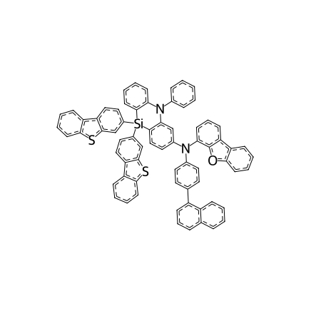 c1ccc(N2c3ccccc3[Si](c3ccc4c(c3)sc3ccccc34)(c3ccc4c(c3)sc3ccccc34)c3ccc(N(c4ccc(-c5cccc6ccccc56)cc4)c4cccc5c4oc4ccccc45)cc32)cc1